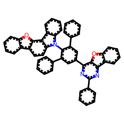 c1ccc(-c2nc(-c3cc(-c4ccccc4)c(-n4c5ccccc5c5c6oc7ccccc7c6ccc54)c(-c4ccccc4)c3)c3oc4ccccc4c3n2)cc1